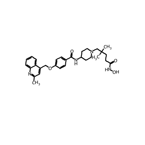 Cc1cc(COc2ccc(C(=O)NC3CCN(CC(C)(C)CCC(=O)NO)CC3)cc2)c2ccccc2n1